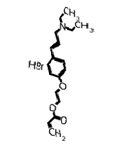 Br.C=CC(=O)OCCOc1ccc(C=CCN(CC)CC)cc1